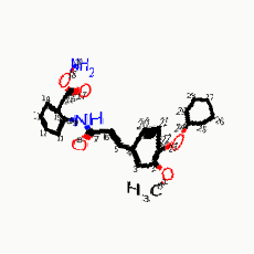 COc1cc(/C=C/C(=O)Nc2ccccc2C(=O)ON)ccc1OC1CCCCC1